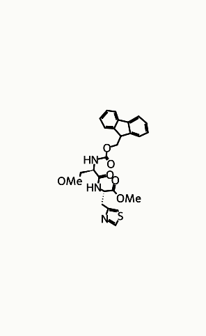 COC[C@@H](NC(=O)OCC1c2ccccc2-c2ccccc21)C(=O)N[C@@H](Cc1cscn1)C(=O)OC